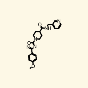 COc1ccc(-c2noc(N3CCC(C(=O)NCc4cccnc4)CC3)n2)cc1